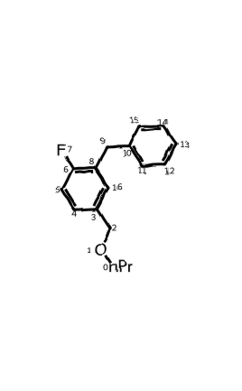 CCCOCc1ccc(F)c(Cc2ccccc2)c1